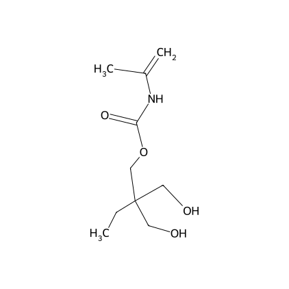 C=C(C)NC(=O)OCC(CC)(CO)CO